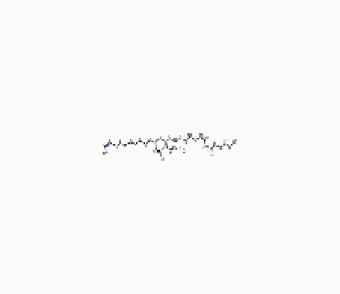 C/C=C\CCCCCCCCC(CCCCCCCC/C=C\CC(C)CCCCC)CN(C)CCN